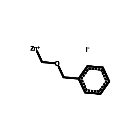 [I-].[Zn+][CH2]OCc1ccccc1